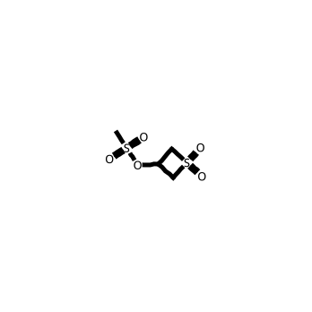 CS(=O)(=O)OC1CS(=O)(=O)C1